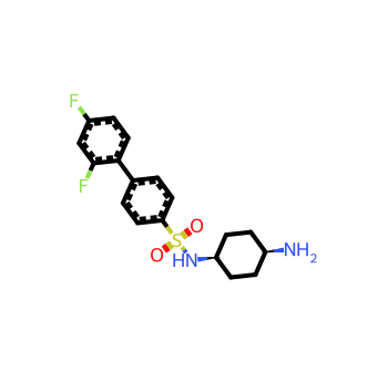 N[C@H]1CC[C@@H](NS(=O)(=O)c2ccc(-c3ccc(F)cc3F)cc2)CC1